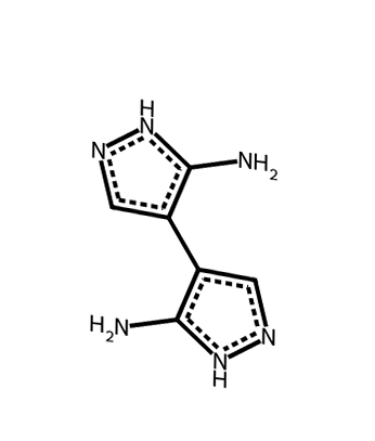 Nc1[nH]ncc1-c1cn[nH]c1N